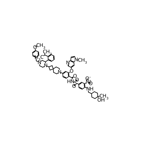 COc1ccc(CN2CCN(C3CC4(CCN(c5ccc(C(=O)NS(=O)(=O)c6ccc(NCC7CCC(C)(O)CC7)c([N+](=O)[O-])c6)c(Oc6cnc7ccn(C)c7c6)c5)CC4)C3)C(c3ccccc3C(C)C)C2)cc1